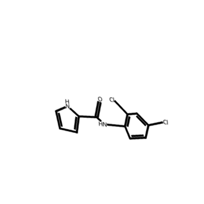 O=C(Nc1ccc(Cl)cc1Cl)c1ccc[nH]1